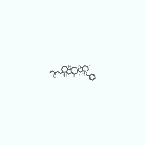 C=CC(=O)CC[C@@]1(C)CCCC2[C@@H]3CC[C@@]4(CC(C)=C3C[C@@H]21)OC1C[C@H](C)CN(Cc2ccccc2)[C@H]1[C@H]4C